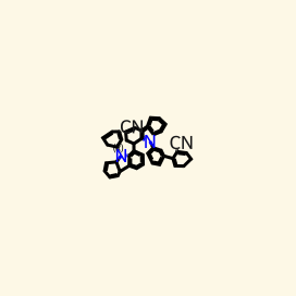 N#CC1=C[C@H](N2c3c(C4CC=Cc5c4n(-c4cccc(C6=CCCC=C6C#N)c4)c4ccccc54)cccc3C3C=CC=CC32)CC=C1